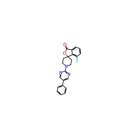 O=C1OC2(CCN(c3ncc(-c4ccccc4)cn3)CC2)c2c(F)cccc21